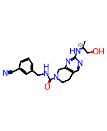 C[C@@H](CO)Nc1ncc2c(n1)CN(C(=O)NCc1cccc(C#N)c1)CC2